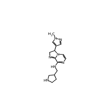 Cn1cc(C2CN=C3C(NCC4CCNC4)=NC=CN32)cn1